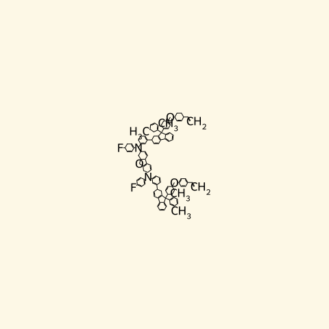 C=Cc1ccc(OC2C=CC(C3(c4cc(C)ccc4C)C4=C(C=CC(c5cccc(N(c6ccc(F)cc6)C6C=CC7=C(C6)OC6CC(N(C8=CCC(F)C=C8)C8=CC(C9C=CC%10=C(C9)C(C9=CC=C(OC%11C=CC(C=C)CC%11)CC9)(C9=C(C)C=CC(C)C9)c9ccccc9%10)=CCC8)C=CC76)c5)C4)c4ccccc43)CC2)cc1